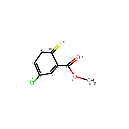 COC(=O)C1=CC(Cl)=CCC1=S